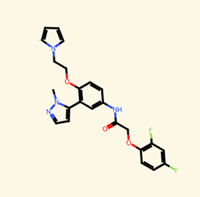 Cn1nccc1-c1cc(NC(=O)COc2ccc(F)cc2F)ccc1OCCn1[c]ccc1